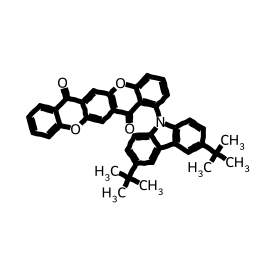 CC(C)(C)c1ccc2c(c1)c1cc(C(C)(C)C)ccc1n2-c1cccc2oc3cc4c(=O)c5ccccc5oc4cc3c(=O)c12